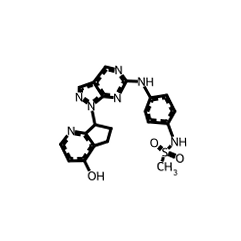 CS(=O)(=O)Nc1ccc(Nc2ncc3cnn(C4CCc5c(O)ccnc54)c3n2)cc1